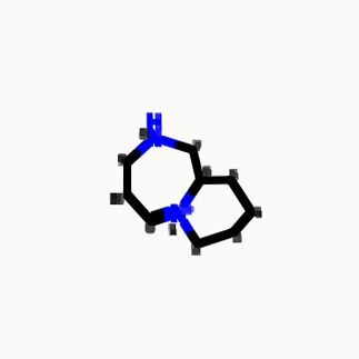 C1=[N+]2CCCCC2CNCC1